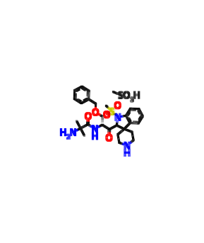 CC(C)(N)C(=O)N[C@H](COCc1ccccc1)C(=O)C1N(S(C)(=O)=O)c2ccccc2C12CCNCC2.CS(=O)(=O)O